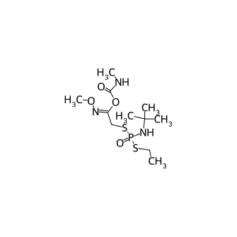 CCSP(=O)(NC(C)(C)C)SCC(=NOC)OC(=O)NC